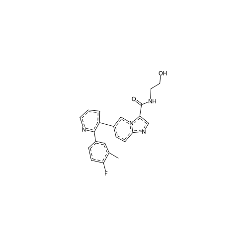 Cc1cc(-c2ncccc2-c2ccc3ncc(C(=O)NCCO)n3c2)ccc1F